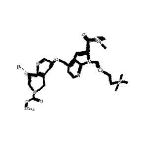 CC[C@H]1CN(C(=O)OC(C)(C)C)Cc2cc(Oc3ccnc4c3cc(C(=O)N(C)C)n4COCCS(C)(C)C)cnc21